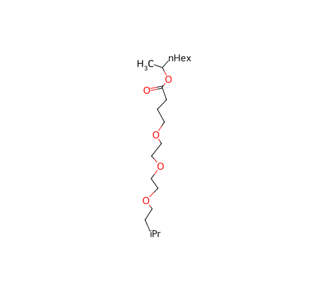 CCCCCCC(C)OC(=O)CCCOCCOCCOCCC(C)C